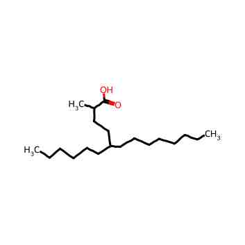 CCCCCCCCC(CCCCCC)CCC(C)C(=O)O